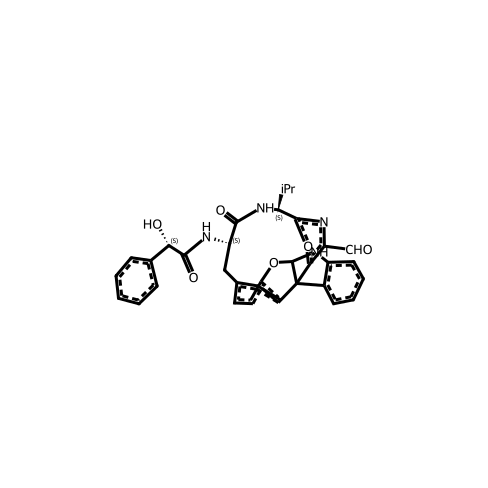 CC(C)[C@@H]1NC(=O)[C@@H](NC(=O)[C@@H](O)c2ccccc2)Cc2ccc3c(c2)C2(c4ccccc4NC2O3)c2oc1nc2C=O